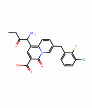 CCC(=O)C(N)c1cc(C(=O)O)c(=O)n2cc(Cc3cccc(Cl)c3F)ccc12